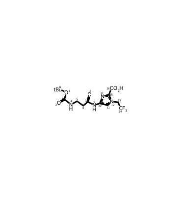 CC(C)(C)OC(=O)NCCC(=O)Nc1cn(CC(F)(F)F)c(C(=O)O)n1